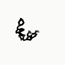 CC(C)(C)Cn1c(Cn2nnc(-c3ccc(CN4CCCCC4)cc3)n2)cc2cnc(N)nc21